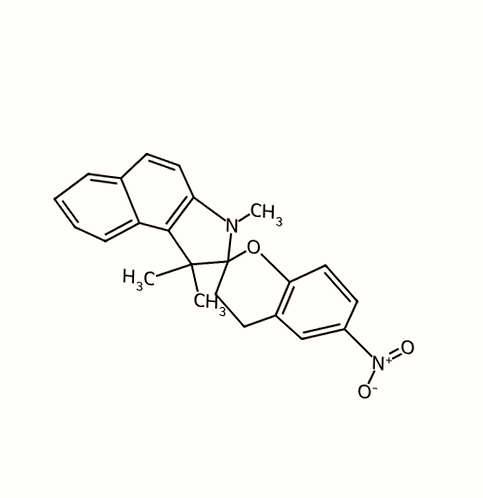 CN1c2ccc3ccccc3c2C(C)(C)C12CCc1cc([N+](=O)[O-])ccc1O2